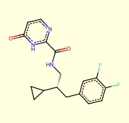 O=C(NC[C@H](Cc1ccc(F)c(F)c1)C1CC1)c1nccc(=O)[nH]1